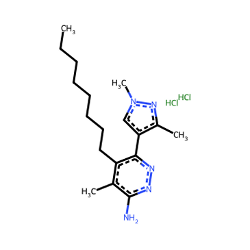 CCCCCCCCc1c(-c2cn(C)nc2C)nnc(N)c1C.Cl.Cl